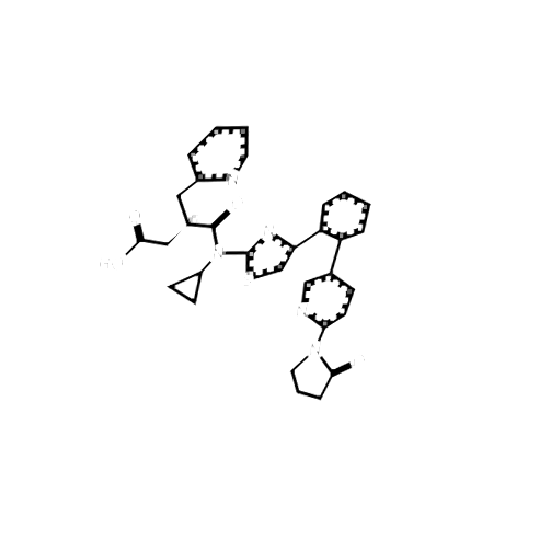 O=C(O)C[C@@H](Cc1ccccn1)C(=O)N(c1nc(-c2ccccc2-c2ccc(N3CCCC3=O)nc2)cs1)C1CC1